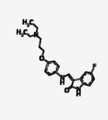 CCN(CC)CCCOc1ccc(NC=C2C(=O)Nc3ccc(F)cc32)cc1